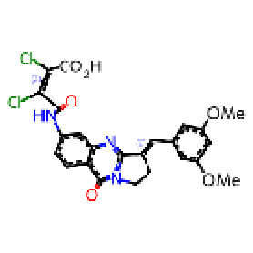 COc1cc(/C=C2\CCn3c2nc2cc(NC(=O)/C(Cl)=C(/Cl)C(=O)O)ccc2c3=O)cc(OC)c1